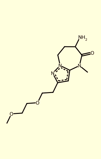 COCCOCCc1cc2n(n1)CCC(N)C(=O)N2C